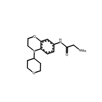 CNCC(=O)Nc1ccc2c(c1)OCCN2C1CCOCC1